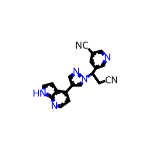 N#CCC(c1cncc(C#N)c1)n1cc(-c2ccnc3[nH]ccc23)cn1